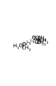 CC(C)OCCCCCC(=O)C(C)(C)C(C)(C)C